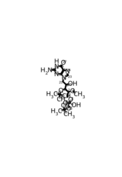 COC(COP(=O)(O)OC(C)(C)C)C(OC(C)(C)C)C(O)Cn1cnc2c(=O)[nH]c(N)nc21